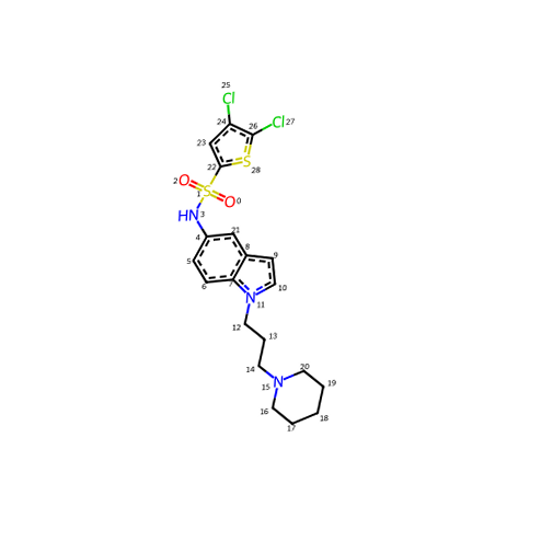 O=S(=O)(Nc1ccc2c(ccn2CCCN2CCCCC2)c1)c1cc(Cl)c(Cl)s1